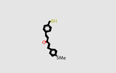 CSc1ccc(/C=C/C(=O)/C=C/c2ccc(CS)cc2)cc1